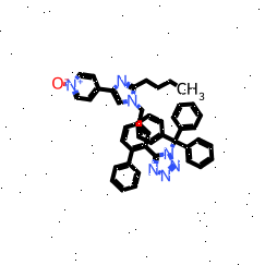 CCCCc1nc(-c2cc[n+]([O-])cc2)cn1Cc1ccc(-c2ccccc2)c(-c2nnnn2C(c2ccccc2)(c2ccccc2)c2ccccc2)c1